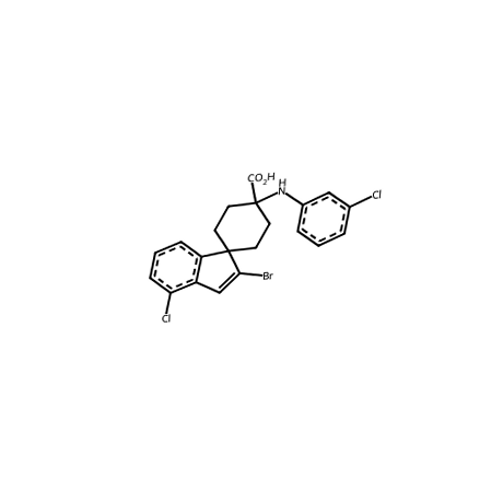 O=C(O)C1(Nc2cccc(Cl)c2)CCC2(CC1)C(Br)=Cc1c(Cl)cccc12